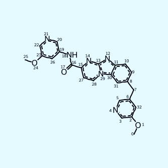 COc1cncc(Cc2ccc3nc4nc(C(=O)Nc5cncc(OC)c5)ccn4c3c2)c1